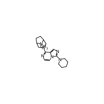 CN1C2CCC1CN(c1nccn3c(N4CCCCC4)ncc13)C2